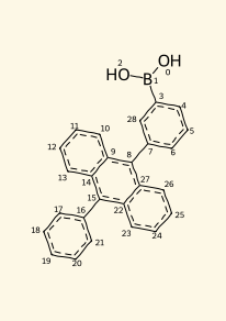 OB(O)c1cccc(-c2c3ccccc3c(-c3ccccc3)c3ccccc23)c1